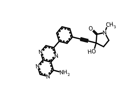 CN1CCC(O)(C#Cc2cccc(-c3cnc4ncnc(N)c4n3)c2)C1=O